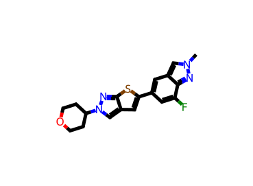 Cn1cc2cc(-c3cc4cn(C5CCOCC5)nc4s3)cc(F)c2n1